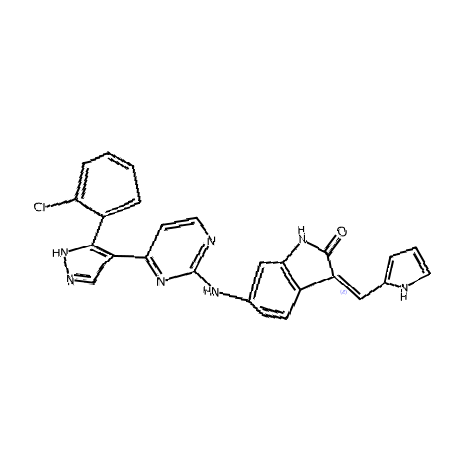 O=C1Nc2cc(Nc3nccc(-c4cn[nH]c4-c4ccccc4Cl)n3)ccc2/C1=C/c1ccc[nH]1